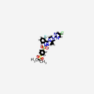 CC(C)S(=O)(=O)c1ccc(S(=O)(=O)n2nc(N3CCN(c4ncc(Cl)cn4)CC34CC4)c3c(F)cccc32)cc1